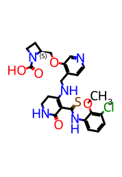 COc1c(Cl)cccc1NC(=S)C1=C(NCc2ccncc2OC[C@@H]2CCN2C(=O)O)CCNC1=O